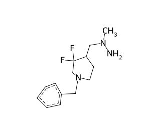 CN(N)CC1CCN(Cc2ccccc2)CC1(F)F